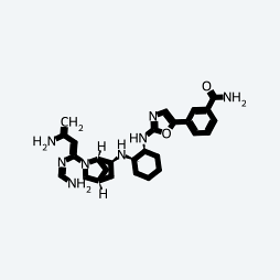 C=C(N)/C=C(\N=C/N)N1C[C@@H]2C[C@H](N[C@@H]3CCCC[C@H]3Nc3ncc(-c4cccc(C(N)=O)c4)o3)[C@H]1C2